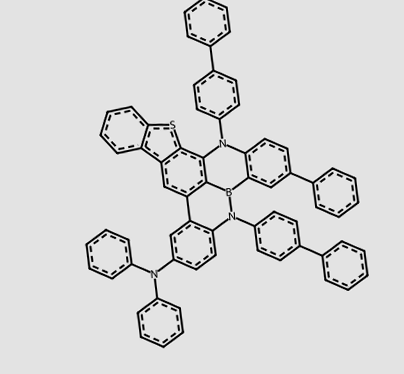 c1ccc(-c2ccc(N3B4c5cc(-c6ccccc6)ccc5N(c5ccc(-c6ccccc6)cc5)c5c4c(cc4c5sc5ccccc54)-c4cc(N(c5ccccc5)c5ccccc5)ccc43)cc2)cc1